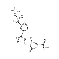 COC(=O)c1cc(F)c(Cc2noc(-c3cccc(NC(=O)OC(C)(C)C)c3)n2)c(F)c1